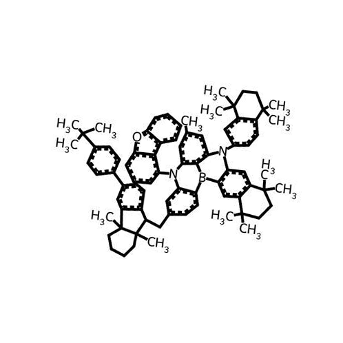 Cc1cc2c3c(c1)N(c1cccc4oc5ccccc5c14)c1cc(CC4c5ccc(-c6ccc(C(C)(C)C)cc6)cc5C5(C)CCCCC45C)ccc1B3c1cc3c(cc1N2c1ccc2c(c1)C(C)(C)CCC2(C)C)C(C)(C)CCC3(C)C